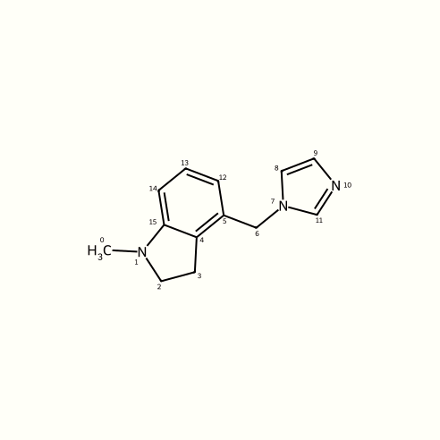 CN1CCc2c(Cn3ccnc3)cccc21